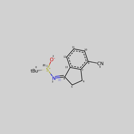 CC(C)(C)[S@+]([O-])/N=C1/CCc2c(C#N)cccc21